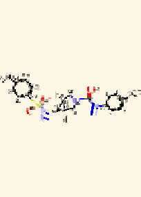 O=C(Nc1ccc(C(F)(F)F)cc1)N1C[C@@H]2[C@H](C1)[C@H]2NS(=O)(=O)c1ccc([N+](=O)[O-])cc1